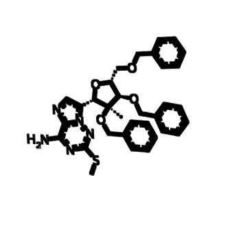 CSc1nc(N)c2ncc([C@@H]3O[C@H](COCc4ccccc4)[C@@H](OCc4ccccc4)[C@@]3(C)OCc3ccccc3)n2n1